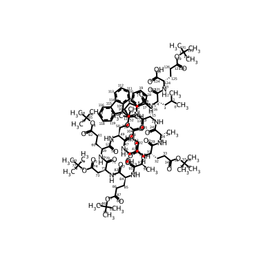 CC(C)C[C@H](NC(=O)[C@@H]1CCCN1C(=O)[C@H](Cc1ccccc1)NC(=O)[C@H](C)NC(=O)[C@H](CCC(=O)OC(C)(C)C)NC(=O)[C@H](C)NC(=O)[C@H](COC(C)(C)C)NC(=O)[C@H](CCC(=O)OC(C)(C)C)NC(=O)[C@H](CC(=O)OC(C)(C)C)NC(=O)[C@H](CCC(=O)OC(C)(C)C)NC(=O)[C@H](C)NC(=O)CNC(=O)OCC1c2ccccc2-c2ccccc21)C(=O)N[C@@H](CCC(=O)OC(C)(C)C)C(=O)O